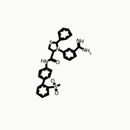 CS(=O)(=O)c1ccccc1-c1ccc(NC(=O)C2CSC(c3ccccc3)N2c2cccc(C(=N)N)c2)cc1